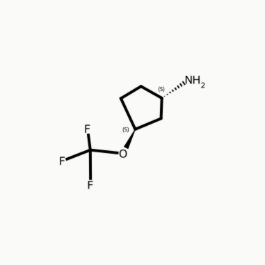 N[C@H]1CC[C@H](OC(F)(F)F)C1